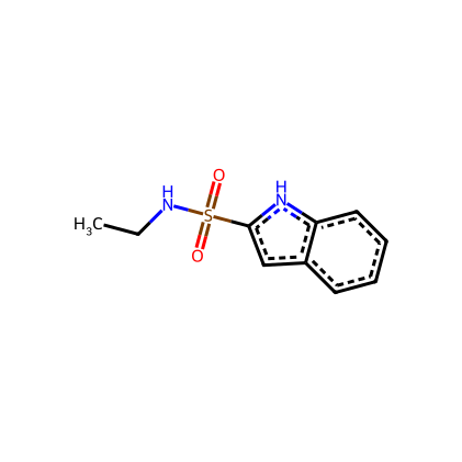 CCNS(=O)(=O)c1cc2ccccc2[nH]1